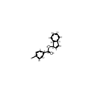 Cc1ccc(C(=O)OC2C=Cc3ccccc32)cc1